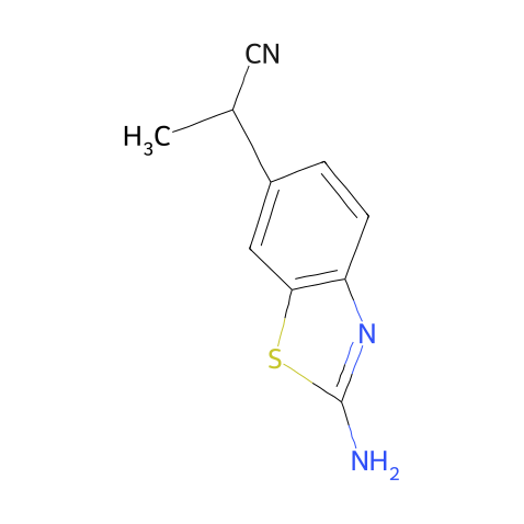 CC(C#N)c1ccc2nc(N)sc2c1